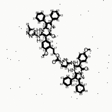 COc1ccc(-c2c(Nc3ccn(C(=O)OCCc4cc(-c5c(Nc6nnc(C)s6)[nH]c6c(-c7ccccc7)c(-c7ccccc7)nn6c5=O)ccc4OC)n3)[nH]c3c(-c4ccccc4)c(-c4ccccc4)nn3c2=O)cc1